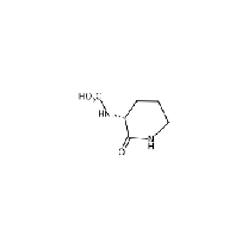 O=C(O)N[C@@H]1CCCNC1=O